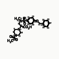 CN(CC(C(=O)O)N1CCN(S(C)(=O)=O)CC1)S(=O)(=O)c1ccc(OCc2ccccc2)cc1